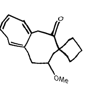 COC1Cc2ccccc2C(=O)C12CCC2